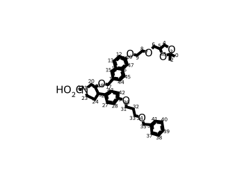 CC1(C)OCC(COCCOc2ccc3cc(COC4CN(C(=O)O)CCC4c4ccc(OCCCOCc5ccccc5)cc4)ccc3c2)O1